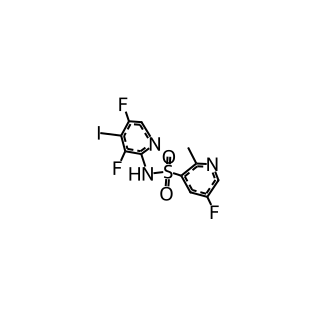 Cc1ncc(F)cc1S(=O)(=O)Nc1ncc(F)c(I)c1F